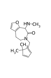 CNC1C(=O)N(CC2=CC=CC2(C)C)CCc2ccoc21